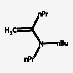 C=C(CCC)N(CCC)CCCC